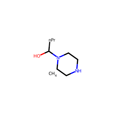 C.CCCC(O)N1CCNCC1